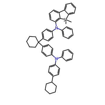 C[Si]1(C)c2ccccc2-c2cccc(N(c3ccccc3)c3ccc(C4(c5ccc(N(c6ccccc6)c6ccc(C7CCCCC7)cc6)cc5)CCCCC4)cc3)c21